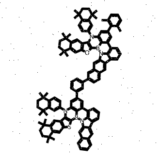 Cc1cccc(C)c1-c1cc2c3c(c1)N(c1ccc4c(c1)C(C)(C)CCC4(C)C)c1c(oc4cc5c(cc14)C(C)(C)CCC5(C)C)B3n1c3cc4cc(-c5cccc(-c6cc7c8c(c6)N(c6ccc9c(c6)C(C)(C)CCC9(C)C)c6c(sc9cc%10c(cc69)C(C)(C)CCC%10(C)C)B8n6c8cc9ccccc9cc8c8cccc-7c86)c5)ccc4cc3c3cccc-2c31